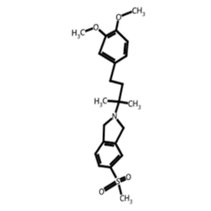 COc1ccc(CCC(C)(C)N2Cc3ccc(S(C)(=O)=O)cc3C2)cc1OC